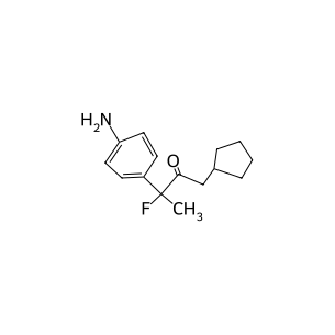 CC(F)(C(=O)CC1CCCC1)c1ccc(N)cc1